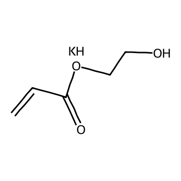 C=CC(=O)OCCO.[KH]